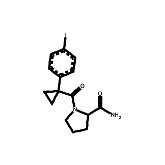 NC(=O)C1CCCN1C(=O)C1(c2ccc(I)cc2)CC1